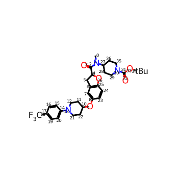 CN(C(=O)C1Cc2cc(OC3CCN(c4ccc(C(F)(F)F)cc4)CC3)ccc2O1)C1CCN(C(=O)OC(C)(C)C)CC1